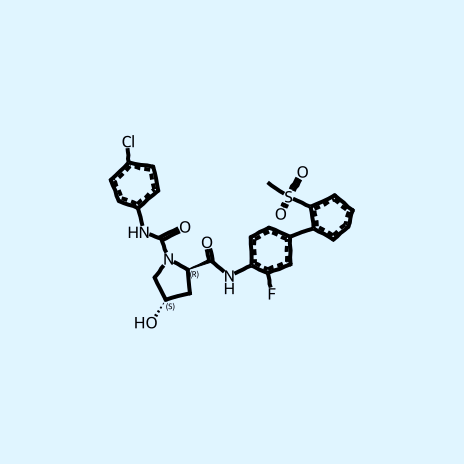 CS(=O)(=O)c1ccccc1-c1ccc(NC(=O)[C@H]2C[C@H](O)CN2C(=O)Nc2ccc(Cl)cc2)c(F)c1